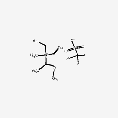 CC[N+](C)(CC)C(C)OC.O=S(=O)([O-])C(F)(F)F